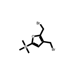 C[Si](C)(C)c1cc(CBr)c(CBr)o1